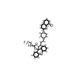 O=C(NCC(F)(F)F)OC1(CCCCN2CCN(c3ccc4cccc(Cl)c4n3)CC2)c2ccccc2Oc2ccccc21